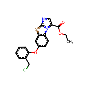 CCOC(=O)c1cnc2sc3cc(Oc4ccccc4CCl)ccc3n12